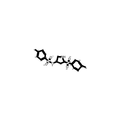 Cc1ccc(S(=O)(=O)OC2CNC(S(=O)(=O)c3ccc(C)cc3)C2)cc1